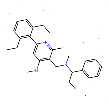 CCc1cccc(CC)c1-c1cc(OC)c(CN(C)C(CC)c2ccccc2)c(C)n1